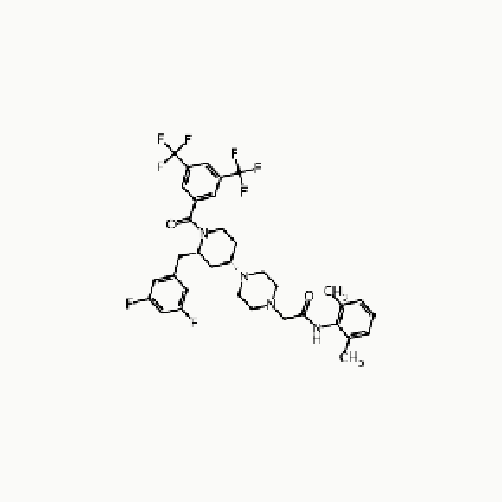 Cc1cccc(C)c1NC(=O)CN1CCN([C@H]2CCN(C(=O)c3cc(C(F)(F)F)cc(C(F)(F)F)c3)[C@H](Cc3cc(F)cc(F)c3)C2)CC1